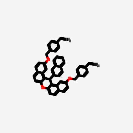 C=Cc1ccc(COc2ccc3ccc4c(c3c2)C(c2ccc3ccccc3c2)c2c(ccc3ccc(OCc5ccc(C=C)cc5)cc23)O4)cc1